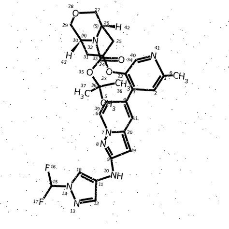 Cc1cc(-c2ccn3nc(Nc4cnn(C(F)F)c4)cc3c2)c(OC2C[C@H]3COC[C@@H](C2)N3C(=O)OC(C)(C)C)cn1